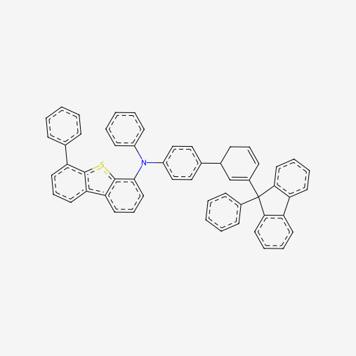 C1=CC(C2(c3ccccc3)c3ccccc3-c3ccccc32)=CC(c2ccc(N(c3ccccc3)c3cccc4c3sc3c(-c5ccccc5)cccc34)cc2)C1